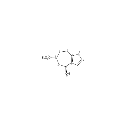 CCOC(=O)N1CCc2sccc2[C@@H](O)C1